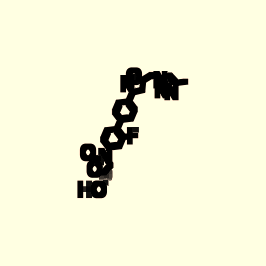 Cc1cn(CC2CC(c3ccc(-c4ccc(N5C[C@H](CO)OC5=O)cc4F)cc3)=NO2)nn1